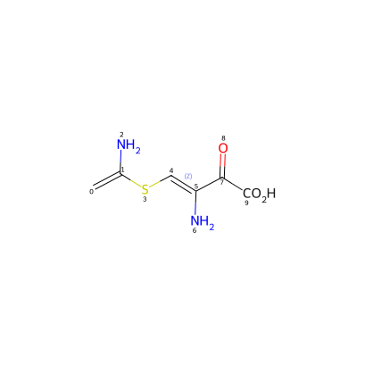 C=C(N)S/C=C(\N)C(=O)C(=O)O